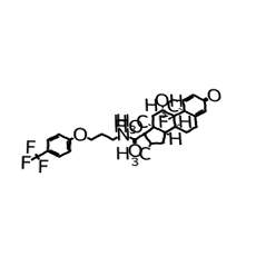 C[C@@H]1C[C@H]2[C@@H]3CCC4=CC(=O)C=C[C@]4(C)[C@@]3(F)[C@@H](O)C[C@]2(C)[C@@]1(O)C(=O)NCCCOc1ccc(C(F)(F)F)cc1